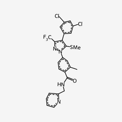 CSc1c(-c2cc(Cl)cc(Cl)c2)c(C(F)(F)F)nn1-c1ccc(C(=O)NCc2ccccn2)c(C)c1